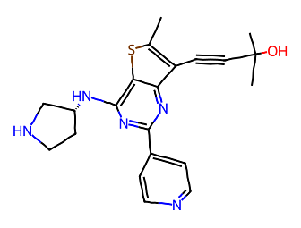 Cc1sc2c(N[C@@H]3CCNC3)nc(-c3ccncc3)nc2c1C#CC(C)(C)O